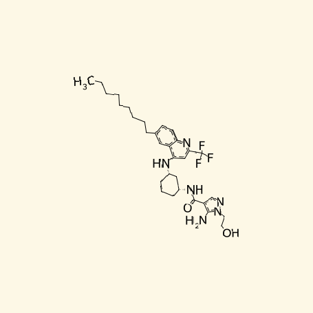 CCCCCCCCCc1ccc2nc(C(F)(F)F)cc(N[C@H]3CCC[C@@H](NC(=O)c4cnn(CCO)c4N)C3)c2c1